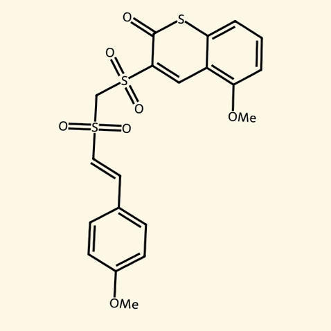 COc1ccc(C=CS(=O)(=O)CS(=O)(=O)c2cc3c(OC)cccc3sc2=O)cc1